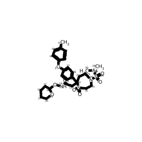 Cc1ccc(Oc2ccc(C3(CC(=O)NOC4CCCCO4)CCN(S(=O)(=O)[As](C)C)CCS3(=O)=O)cc2)cc1